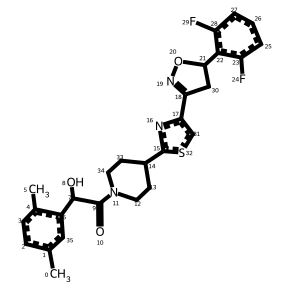 Cc1ccc(C)c(C(O)C(=O)N2CCC(c3nc(C4=NOC(c5c(F)cccc5F)C4)cs3)CC2)c1